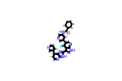 O=C(Nc1cncc(-c2cnc3[nH]nc(-c4nc5c(-c6cccnc6)ccnc5[nH]4)c3c2F)c1)C1CCCCC1